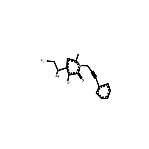 CCC(O)c1cc(I)n(CC#Cc2ccccc2)c(=O)c1C